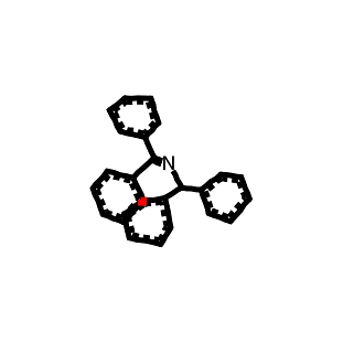 c1ccc(C(=NC(c2ccccc2)c2ccccc2)c2ccccc2)cc1